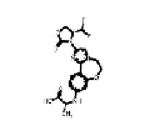 C[C@H](Nc1ccc2c(c1)OCCn1cc(N3C(=O)OC[C@H]3C(F)F)nc1-2)C(=O)O